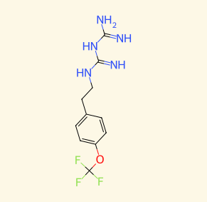 N=C(N)NC(=N)NCCc1ccc(OC(F)(F)F)cc1